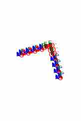 COC(N(C)C)=[N+](C)F.COC(N(C)C)=[N+](C)F.COC(N(C)C)=[N+](C)F.COC(N(C)C)=[N+](C)F.COC(N(C)C)=[N+](C)F.COC(N(C)C)=[N+](C)F.COC(N(C)C)=[N+](C)F.COC(N(C)C)=[N+](C)F.[O-]B([O-])F.[O-]B([O-])F.[O-]B([O-])F.[O-]B([O-])F